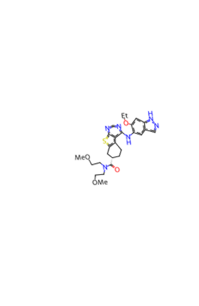 CCOc1cc2[nH]ncc2cc1Nc1ncnc2sc3c(c12)CC[C@H](C(=O)N(CCOC)CCOC)C3